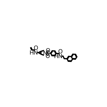 C=CC(=O)NC1C2CN(S(=O)(=O)c3ccc(C(=O)NCCc4ccc5ccccc5c4)cc3)CC21